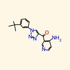 CC(C)(C)c1cccc(-n2cc(C(=O)c3cnccc3N)nn2)c1